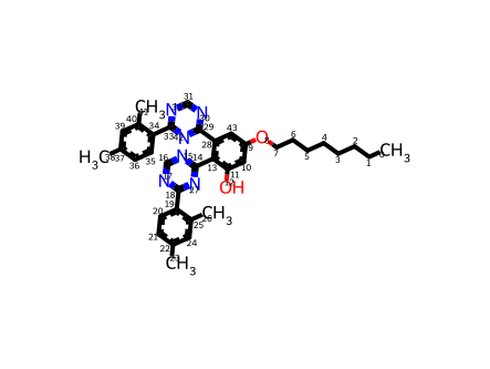 CCCCCCCCOc1cc(O)c(-c2ncnc(-c3ccc(C)cc3C)n2)c(-c2ncnc(-c3ccc(C)cc3C)n2)c1